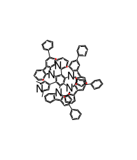 Cc1cc(-c2c(-n3c4ccccc4c4cc(-c5ccccc5)ccc43)c(-c3ccccn3)c(-n3c4ccccc4c4cc(-c5ccccc5)ccc43)c(-n3c4ccccc4c4cc(-c5ccccc5)ccc43)c2-n2c3ccccc3c3cc(-c4ccccc4)ccc32)cc(C)n1